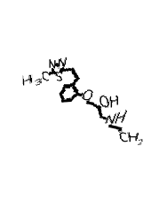 C=CCNCC(O)COc1ccccc1/C=C\c1nnc(C)s1